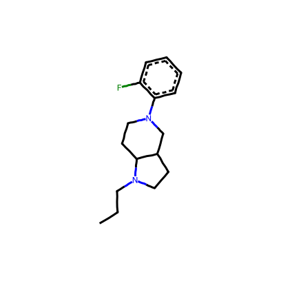 CCCN1CCC2CN(c3ccccc3F)CCC21